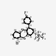 F[P-](F)(F)(F)(F)F.Fc1ccc(-c2cccc3c2Sc2ccccc2S3)cc1.[H+]